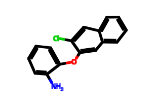 Nc1ccccc1Oc1cc2ccccc2cc1Cl